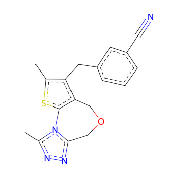 Cc1sc2c(c1Cc1cccc(C#N)c1)COCc1nnc(C)n1-2